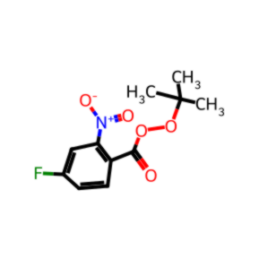 CC(C)(C)OOC(=O)c1ccc(F)cc1[N+](=O)[O-]